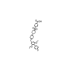 CCOc1cc(CN2CCN(C3CCN(S(=O)(=O)c4ccc(C(=O)O)cc4)CC3)CC2)cc(OCC)c1-c1ccc(F)cc1